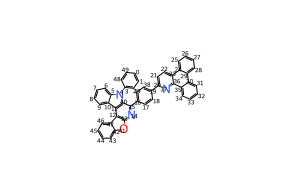 c1ccc(-n2c3ccccc3c3c4c(nc(-c5ccc(-c6ccc7c8ccccc8c8ccccc8c7n6)cc5)c32)oc2ccccc24)cc1